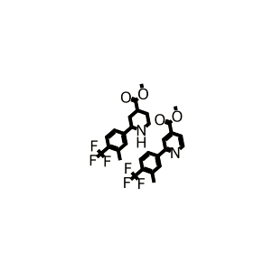 COC(=O)C1CCNC(c2ccc(C(F)(F)F)c(C)c2)C1.COC(=O)c1ccnc(-c2ccc(C(F)(F)F)c(C)c2)c1